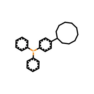 c1ccc(P(c2ccccc2)c2ccc(C3CCCCCCCCC3)cc2)cc1